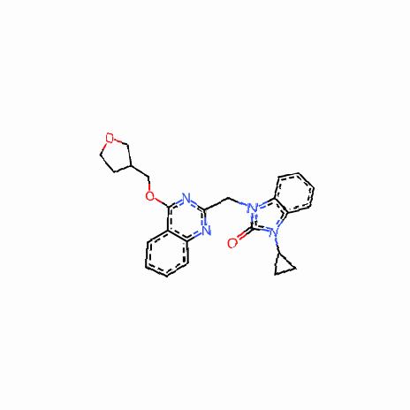 O=c1n(Cc2nc(OCC3CCOC3)c3ccccc3n2)c2ccccc2n1C1CC1